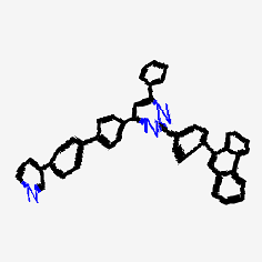 c1ccc(-c2cc(-c3ccc(-c4ccc(-c5cccnc5)cc4)cc3)nc(-c3ccc(-c4cc5ccccc5c5ccccc45)cc3)n2)cc1